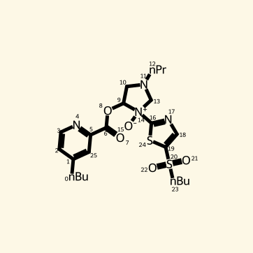 CCCCc1ccnc(C(=O)OC2CN(CCC)C[N+]2([O-])c2ncc(S(=O)(=O)CCCC)s2)c1